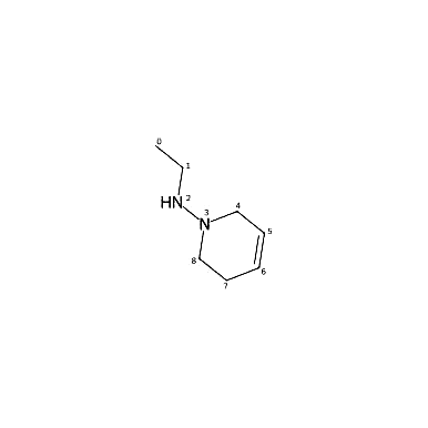 CCNN1CC=CCC1